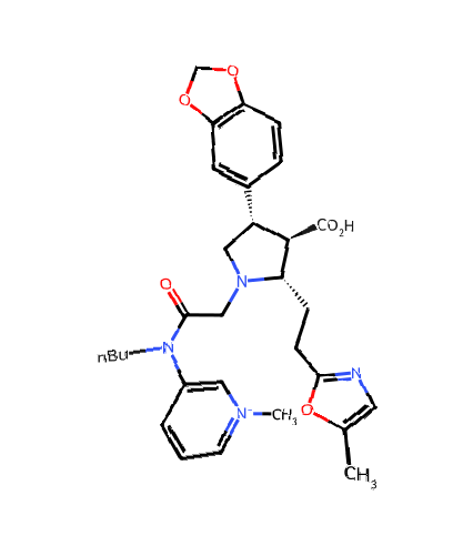 CCCCN(C(=O)CN1C[C@H](c2ccc3c(c2)OCO3)[C@@H](C(=O)O)[C@@H]1CCc1ncc(C)o1)c1ccc[n+](C)c1